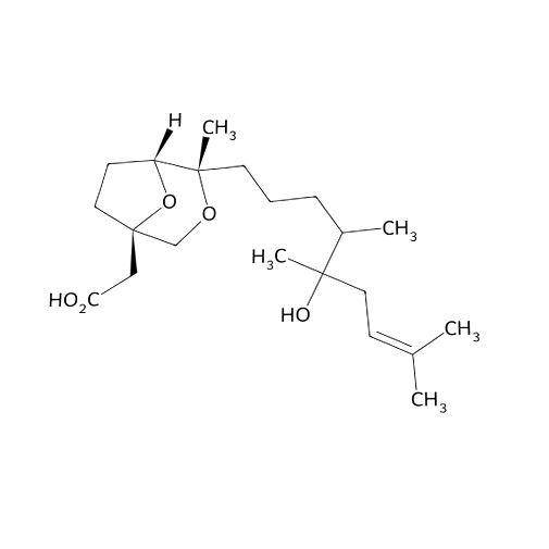 CC(C)=CCC(C)(O)C(C)CCC[C@]1(C)OC[C@]2(CC(=O)O)CC[C@H]1O2